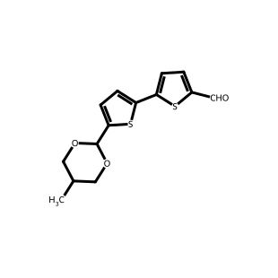 CC1COC(c2ccc(-c3ccc(C=O)s3)s2)OC1